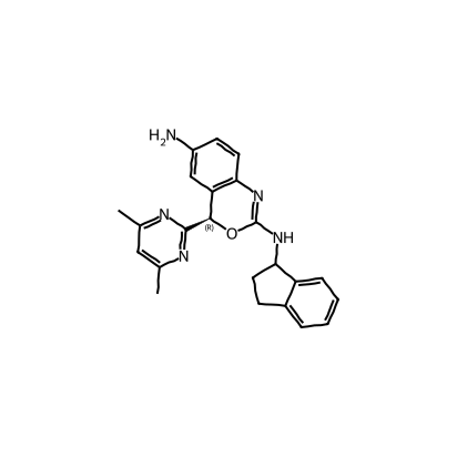 Cc1cc(C)nc([C@@H]2OC(NC3CCc4ccccc43)=Nc3ccc(N)cc32)n1